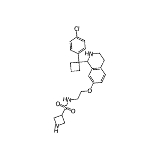 O=S(=O)(NCCOc1ccc2c(c1)C(C1(c3ccc(Cl)cc3)CCC1)NCC2)C1CNC1